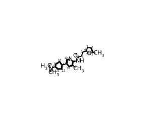 CC1=CCC(CCC(=O)Nc2ncc(-c3ccc(N(C)C)cc3)cc2C)O1